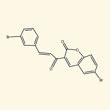 O=C(C=Cc1cccc(Br)c1)c1cc2cc(Br)ccc2oc1=O